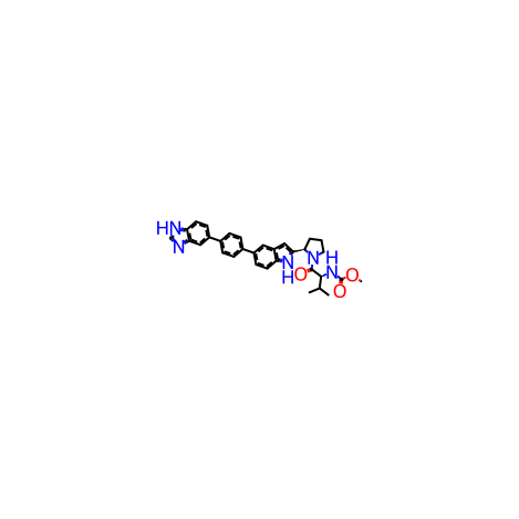 COC(=O)N[C@H](C(=O)N1CCC[C@@H]1c1cc2cc(-c3ccc(-c4ccc5[nH]cnc5c4)cc3)ccc2[nH]1)C(C)C